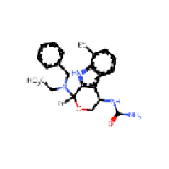 CCc1cccc2c3c([nH]c12)C(CC)(N(CC(=O)O)Cc1ccccc1)OCC3NC(N)=O